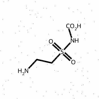 NCCS(=O)(=O)NC(=O)O